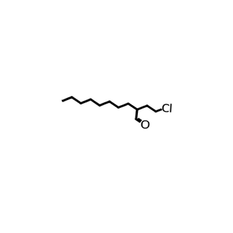 CCCCCCCCC(C=O)CCCl